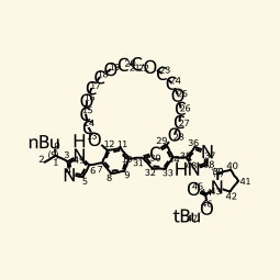 CCCC[C@H](C)c1ncc(-c2ccc3cc2OCCOCCOCCOCCOCCOc2cc-3ccc2-c2cnc([C@@H]3CCCN3C(=O)OC(C)(C)C)[nH]2)[nH]1